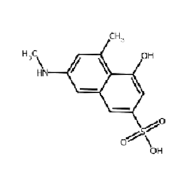 CNc1cc(C)c2c(O)cc(S(=O)(=O)O)cc2c1